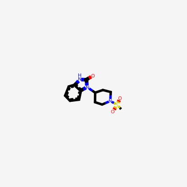 CS(=O)(=O)N1CCC(n2c(=O)[nH]c3ccccc32)CC1